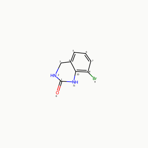 O=C1NCc2cccc(Br)c2N1